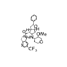 COC1COCCC1N[C@@H]1C[C@H]2OC(c3ccccc3)C[C@H]2[C@@H]1C(=O)N1CCc2ncc(C(F)(F)F)cc2C1